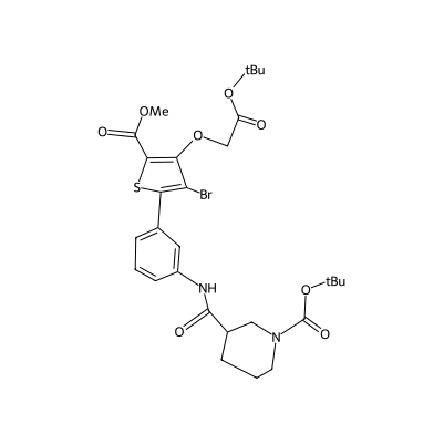 COC(=O)c1sc(-c2cccc(NC(=O)C3CCCN(C(=O)OC(C)(C)C)C3)c2)c(Br)c1OCC(=O)OC(C)(C)C